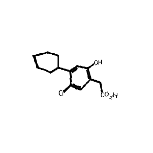 O=C(O)Cc1cc(Cl)c(C2CCCCC2)cc1O